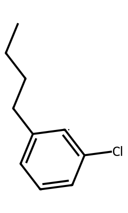 CCCCc1[c]c(Cl)ccc1